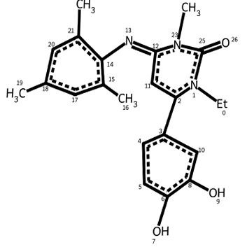 CCn1c(-c2ccc(O)c(O)c2)cc(=Nc2c(C)cc(C)cc2C)n(C)c1=O